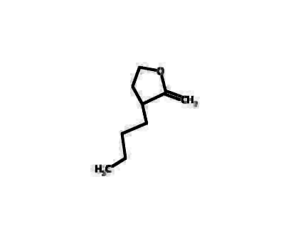 C=C1OCCC1CCCC